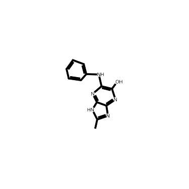 Cc1nc2nc(O)c(Nc3ccccc3)nc2[nH]1